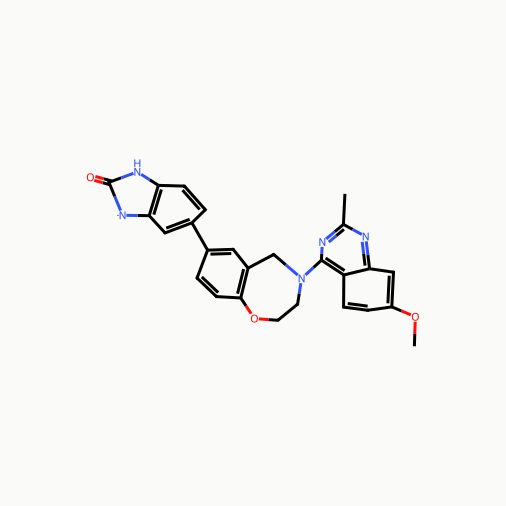 COc1ccc2c(N3CCOc4ccc(-c5ccc6c(c5)[N]C(=O)N6)cc4C3)nc(C)nc2c1